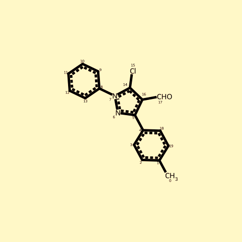 Cc1ccc(-c2nn(-c3ccccc3)c(Cl)c2C=O)cc1